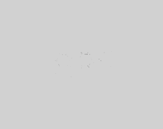 OCc1cccc(-c2ccc(N3CCOCC3)nc2)c1F